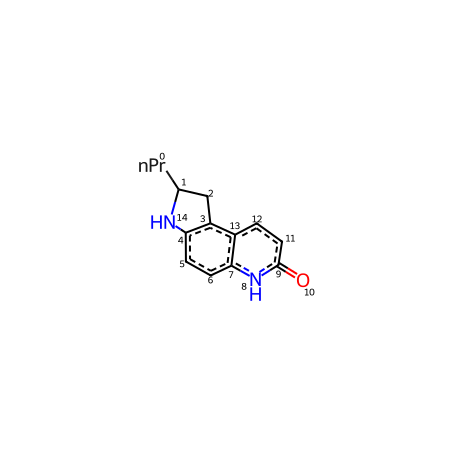 CCCC1Cc2c(ccc3[nH]c(=O)ccc23)N1